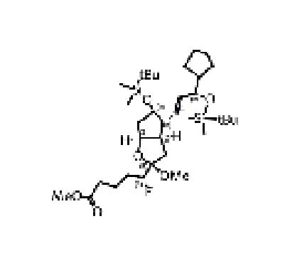 COC(=O)CCC[C@@H](F)[C@@]1(OC)C[C@@H]2[C@@H](/C=C/[C@H](O[Si](C)(C)C(C)(C)C)C3CCCC3)[C@H](O[Si](C)(C)C(C)(C)C)C[C@@H]2O1